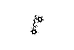 CCN(CCCC(=O)Oc1ccccc1)c1ccccc1